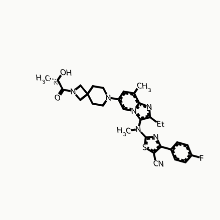 CCc1nc2c(C)cc(N3CCC4(CC3)CN(C(=O)[C@H](C)O)C4)cn2c1N(C)c1nc(-c2ccc(F)cc2)c(C#N)s1